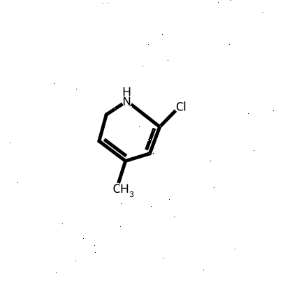 CC1=CCNC(Cl)=[C]1